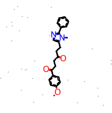 COc1ccc(C(=O)CCC(=O)CCc2cnc(-c3ccccc3)n2C)cc1